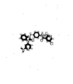 CN(C)c1cc(-n2c(=O)n(C[C@H]3CC[C@H](NC(=O)c4cc(Cl)cnc4C(F)(F)F)CC3)c3ccccc32)ccn1